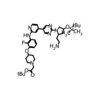 CC(C)(C)OC(=O)CN1CCC(Oc2cccc(Nc3cc(-c4cnc(N5CC(O[Si](C)(C)C(C)(C)C)CC5CCN)nc4)ccn3)c2F)CC1